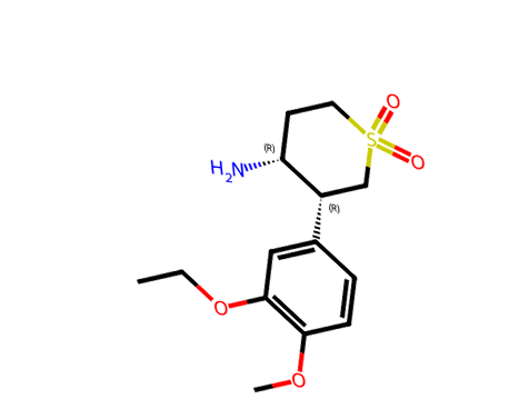 CCOc1cc([C@H]2CS(=O)(=O)CC[C@H]2N)ccc1OC